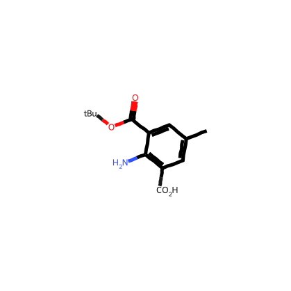 Cc1cc(C(=O)O)c(N)c(C(=O)OC(C)(C)C)c1